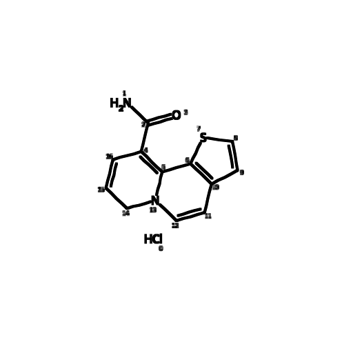 Cl.NC(=O)C1=C2c3sccc3C=CN2CC=C1